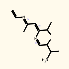 C=C/N=C(C)/C=C(\N=C/C(C)C(C)N)C(C)C